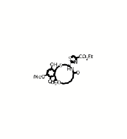 CCOC(=O)c1csc([C@H]2CSCc3c(O)cc(OC)c(C)c3C(=O)OCCCCC(=O)N2)n1